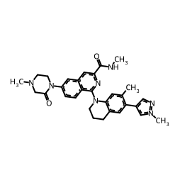 CNC(=O)c1cc2cc(N3CCN(C)CC3=O)ccc2c(N2CCCc3cc(-c4cnn(C)c4)c(C)cc32)n1